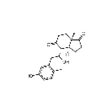 Cc1ccc(O)cc1CC(O)[C@@H]1C(=O)CC[C@]2(C)C(=O)CC[C@@H]12